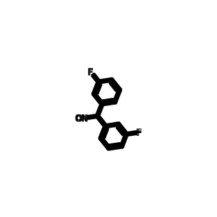 O=NC(c1cccc(F)c1)c1cccc(F)c1